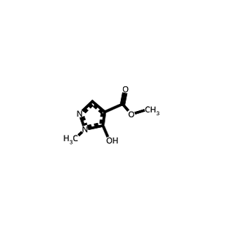 COC(=O)c1cnn(C)c1O